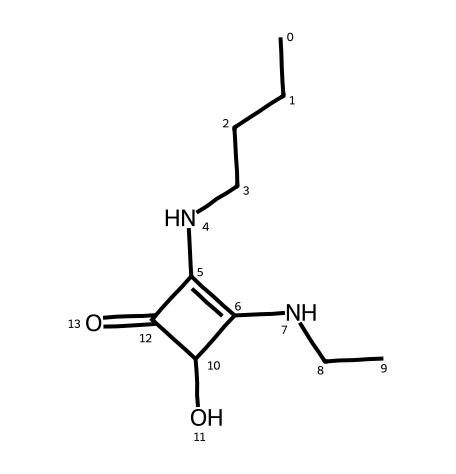 CCCCNC1=C(NCC)C(O)C1=O